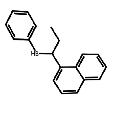 CCC(Bc1ccccc1)c1cccc2ccccc12